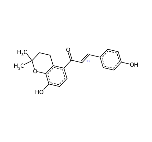 CC1(C)CCc2c(C(=O)/C=C/c3ccc(O)cc3)ccc(O)c2O1